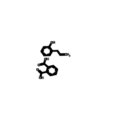 C=CCc1ccccc1O.O=C(O)c1ccccc1C(=O)O